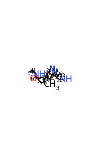 Cc1ccc(C(=O)NC2CC2)cc1-c1ccc2c(C3=CCNCC3)nncc2c1